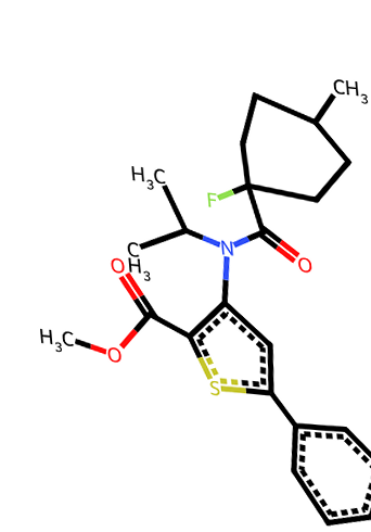 COC(=O)c1sc(-c2ccccc2)cc1N(C(=O)C1(F)CCC(C)CC1)C(C)C